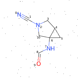 N#CN1CC2CC2(NC=O)C1